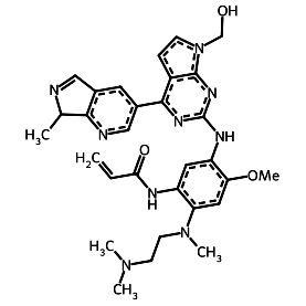 C=CC(=O)Nc1cc(Nc2nc(-c3cnc4c(c3)C=NC4C)c3ccn(CO)c3n2)c(OC)cc1N(C)CCN(C)C